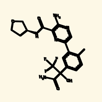 Cc1ccc(C(O)(C(N)=O)C(F)(F)F)cc1-c1cnc(N)c(C(=O)N[C@H]2CCOC2)n1